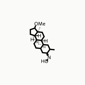 COC1CC[C@H]2[C@@H]3CCC4CC(=NO)C(C)C[C@]4(C)[C@@H]3CC[C@]12C